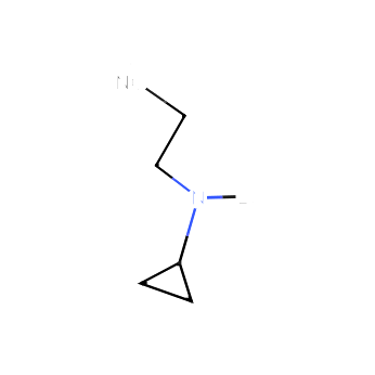 CCN(CCC#N)C1CC1